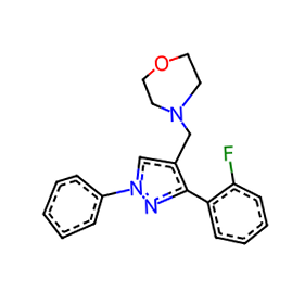 Fc1ccccc1-c1nn(-c2ccccc2)cc1CN1CCOCC1